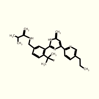 C=C1C=C(c2ccc(CCC)cn2)N=C(c2cc(CNC(=C)C(C)C)ccc2C(C)(C)F)N1